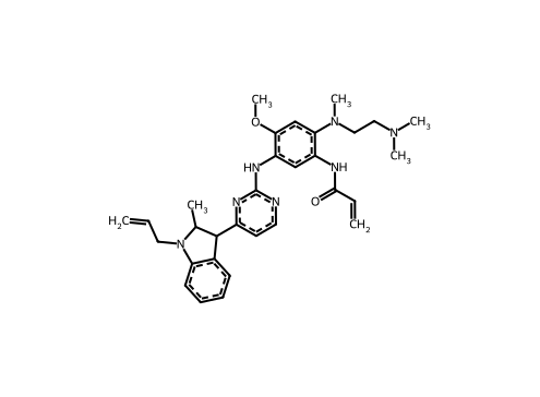 C=CCN1c2ccccc2C(c2ccnc(Nc3cc(NC(=O)C=C)c(N(C)CCN(C)C)cc3OC)n2)C1C